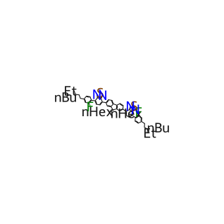 CCCCCCC1(CCCCCC)c2cc(-c3ccc(-c4ccc(CCC(CC)CCCC)cc4F)c4nsnc34)ccc2-c2ccc(-c3ccc(-c4ccc(CCC(CC)CCCC)cc4F)c4nsnc34)cc21